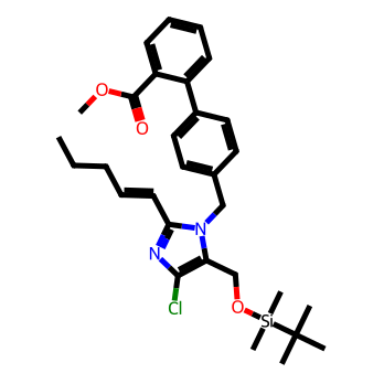 CCCC=Cc1nc(Cl)c(CO[Si](C)(C)C(C)(C)C)n1Cc1ccc(-c2ccccc2C(=O)OC)cc1